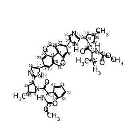 COC(=O)NC(C(=O)N1C[C@@H](C)C[C@H]1c1ncc(-c2cc3c4c(c2)OCc2cc(-c5cnc([C@@H]6C[C@H](C)CN6C(=O)C(NC(=O)OC)C(C)C)[nH]5)cc(c2-4)OC3)[nH]1)c1ccccc1